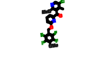 COc1ncc(Cl)c(C)c1C(=O)c1cccc(OCc2c(F)c(F)c(OC)c(F)c2F)n1